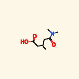 CC(CC(=O)O)CC(=O)N(C)C